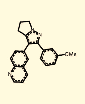 COc1cccc(-c2nn3c(c2-c2ccc4ncccc4c2)CCC3)c1